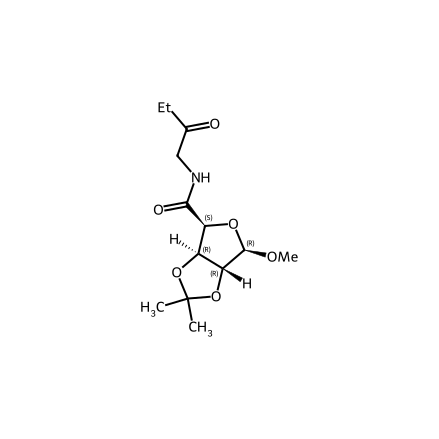 CCC(=O)CNC(=O)[C@H]1O[C@@H](OC)[C@@H]2OC(C)(C)O[C@H]21